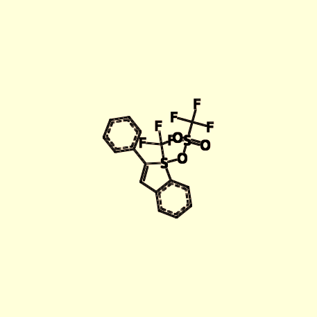 O=S(=O)(OS1(C(F)(F)F)C(c2ccccc2)=Cc2ccccc21)C(F)(F)F